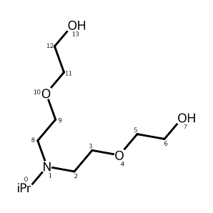 [CH2]C(C)N(CCOCCO)CCOCCO